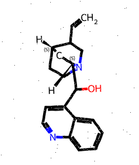 C=CC1CN2CC[C@H]1C[C@H]2C(O)c1ccnc2ccccc12